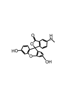 CNc1ccc2c(c1)C(=O)OC21c2ccc(O)cc2Oc2cc(O)ccc21